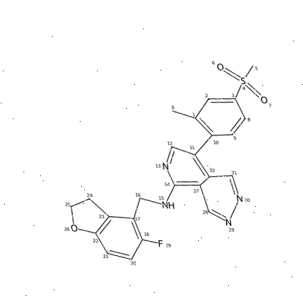 Cc1cc(S(C)(=O)=O)ccc1-c1cnc(NCc2c(F)ccc3c2CCO3)c2cnncc12